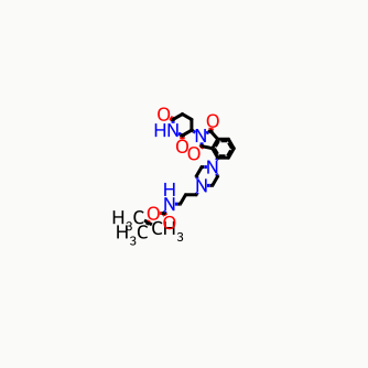 CC(C)(C)OC(=O)NCCCN1CCN(c2cccc3c2C(=O)N(C2CCC(=O)NC2=O)C3=O)CC1